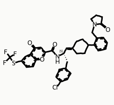 O=C(N[C@H](C=C1CCC(c2ccccc2CN2CCCC2=O)CC1)Cc1ccc(Cl)cc1)c1cc(=O)c2cc(SC(F)(F)F)ccc2o1